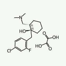 CN(C)C[C@@H]1CCCC[C@]1(O)Cc1ccc(Cl)cc1F.O=C(O)C(=O)O